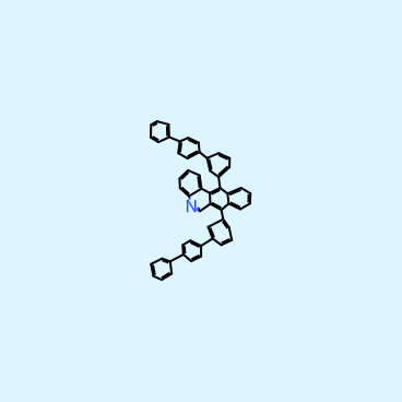 c1ccc(-c2ccc(-c3cccc(-c4c5ccccc5c(-c5cccc(-c6ccc(-c7ccccc7)cc6)c5)c5c4cnc4ccccc45)c3)cc2)cc1